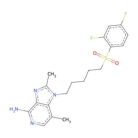 Cc1cnc(N)c2nc(C)n(CCCCCS(=O)(=O)c3ccc(F)cc3F)c12